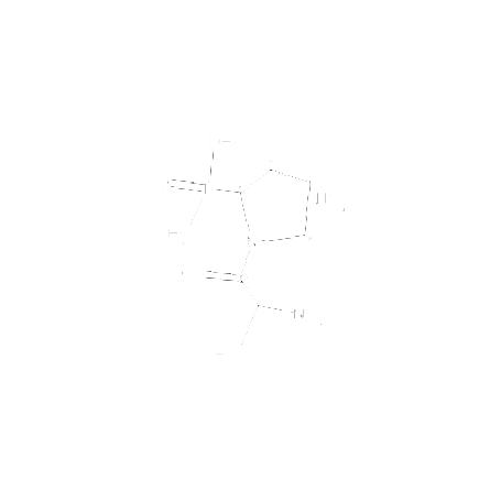 CC(N)C(=O)N1CCCC1P(=O)(O)O.Cl